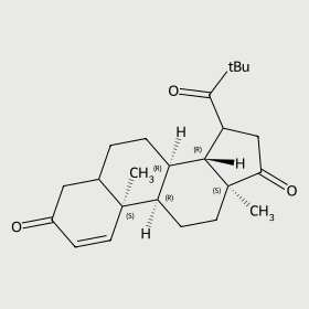 CC(C)(C)C(=O)C1CC(=O)[C@@]2(C)CC[C@@H]3[C@@H](CCC4CC(=O)C=C[C@@]43C)[C@H]12